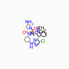 CC(C)(C)OC(=O)N1C[C@@H](N)C[C@H]1C(=O)N[C@H]1CCC[C@@H](Nc2ncc(Cl)c(-c3c[nH]c4ccccc34)n2)C1